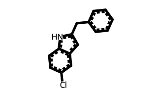 Clc1ccc2[nH]c(Cc3ccccc3)cc2c1